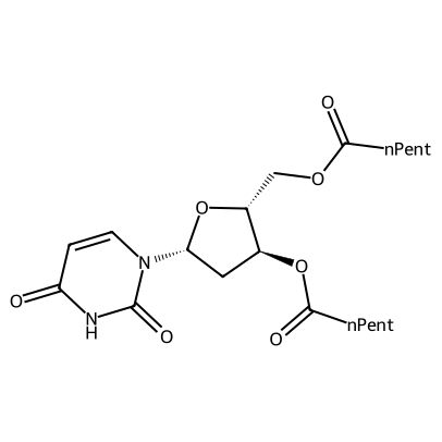 CCCCCC(=O)OC[C@H]1O[C@@H](n2ccc(=O)[nH]c2=O)C[C@@H]1OC(=O)CCCCC